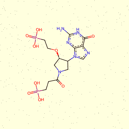 Nc1nc2c(ncn2C2CN(C(=O)CCP(=O)(O)O)C[C@H]2OCCP(=O)(O)O)c(=O)[nH]1